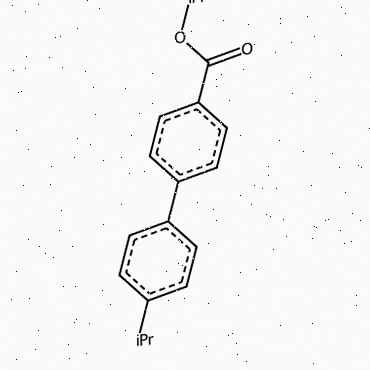 CC(C)OC(=O)c1ccc(-c2ccc(C(C)C)cc2)cc1